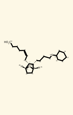 O=C(O)CCC/C=C\C[C@@H]1[C@H](CCCCSC2CCCCC2)[C@@H]2CC[C@H]1O2